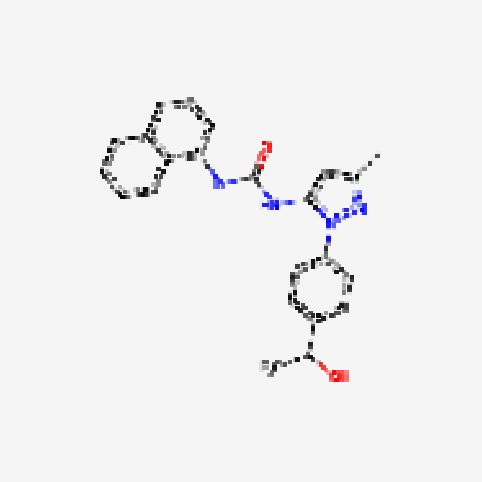 Cc1cc(NC(=O)Nc2cccc3ccccc23)n(-c2ccc(C(O)C(F)(F)F)cc2)n1